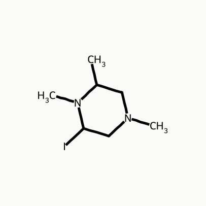 CC1CN(C)CC(I)N1C